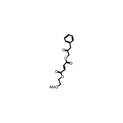 COCCOC(=O)/C=C/C(=O)OCC(=O)Cc1ccccc1